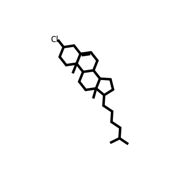 CC(C)CCCCC1CCC2C3CC=C4CC(Cl)CCC4(C)C3CCC12C